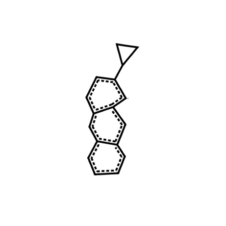 [c]1c(C2CC2)ccc2cc3ccccc3cc12